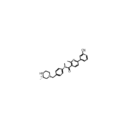 Cc1nc(-c2cccc(C#N)c2)ccc1C(=O)N(C)c1ccc(CN2CCN[C@@H](C)C2)cc1